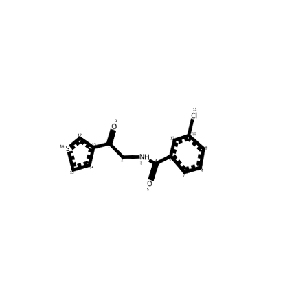 O=C(CNC(=O)c1cccc(Cl)c1)c1ccsc1